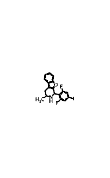 CC1Cc2c(oc3ccccc23)C(c2c(F)cc(I)cc2F)N1